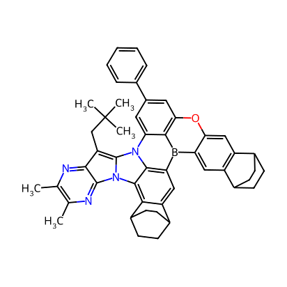 Cc1nc2c(CC(C)(C)C)c3n4c5c(cc6c(c5n3c2nc1C)C1CCC6CC1)B1c2cc3c(cc2Oc2cc(-c5ccccc5)cc-4c21)C1CCC3CC1